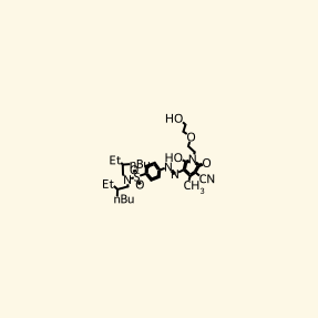 CCCCC(CC)CN(CC(CC)CCCC)S(=O)(=O)c1ccc(N=Nc2c(C)c(C#N)c(=O)n(CCOCCO)c2O)cc1